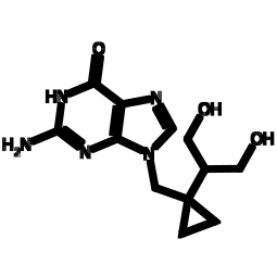 Nc1nc2c(ncn2CC2(C(CO)CO)CC2)c(=O)[nH]1